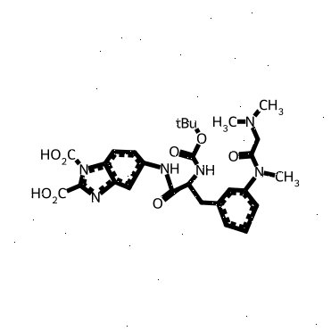 CN(C)CC(=O)N(C)c1cccc(CC(NC(=O)OC(C)(C)C)C(=O)Nc2ccc3c(c2)nc(C(=O)O)n3C(=O)O)c1